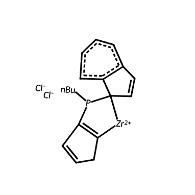 CCCCP1C2=[C](CC=C2)[Zr+2][C]12C=Cc1ccccc12.[Cl-].[Cl-]